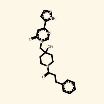 O=C(CCc1ccccc1)N1CCC(O)(Cn2cnc(-c3ccn[nH]3)cc2=O)CC1